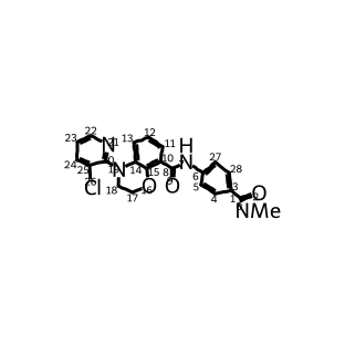 CNC(=O)c1ccc(NC(=O)c2cccc3c2OCCN3c2ncccc2Cl)cc1